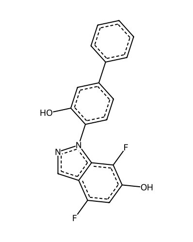 Oc1cc(-c2ccccc2)ccc1-n1ncc2c(F)cc(O)c(F)c21